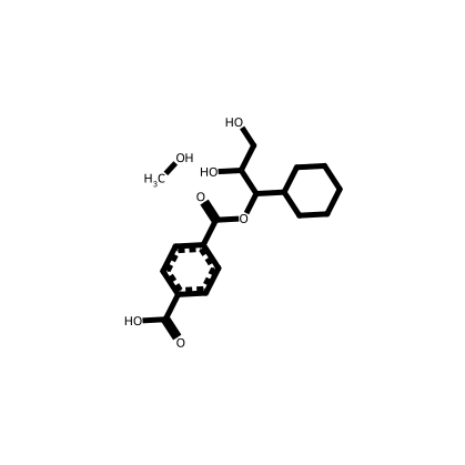 CO.O=C(O)c1ccc(C(=O)OC(C(O)CO)C2CCCCC2)cc1